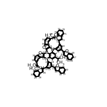 CC(C)c1cc2c3c(c1)N1c4cc(cc(-c5cc6ccccc6o5)c4)C4=Cc5ccccc5[SH]4C(C)(C)c4ccc5oc(c1c5c4)B3c1oc3ccc4cc3c1N2c1cc(cc(-c2cc3ccccc3o2)c1)C1=Cc2ccccc2[SH]1C4(C)C